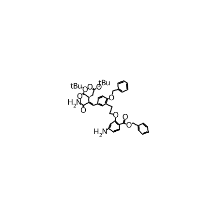 CC(C)(C)OC(=O)C[C@H](C(=O)OC(C)(C)C)/C(=C\c1ccc(OCc2ccccc2)c(CCOc2cc(N)ccc2C(=O)OCc2ccccc2)c1)C(N)=O